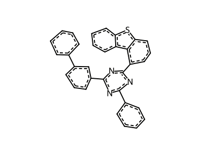 c1ccc(-c2cccc(-c3nc(-c4ccccc4)nc(-c4cccc5sc6ccccc6c45)n3)c2)cc1